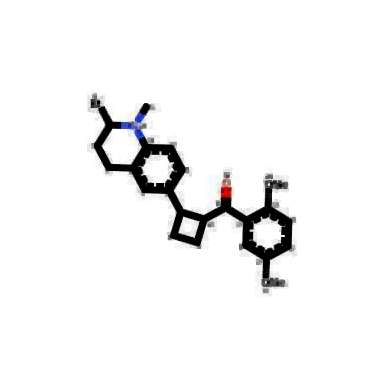 CCC1CCc2cc(C3CCC3C(=O)c3cc(OC)ccc3OC)ccc2N1C